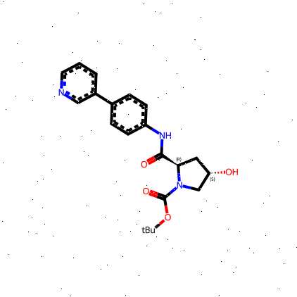 CC(C)(C)OC(=O)N1C[C@@H](O)C[C@@H]1C(=O)Nc1ccc(-c2cccnc2)cc1